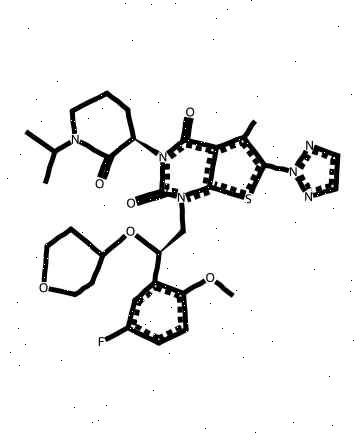 COc1ccc(F)cc1[C@H](Cn1c(=O)n([C@@H]2CCCN(C(C)C)C2=O)c(=O)c2c(C)c(-n3nccn3)sc21)OC1CCOCC1